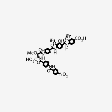 CO[C@H](C(=O)Nc1ccc(C(=O)Nc2ccc(C(=O)Nc3ccc(C(=O)O)cc3OC(C)C)c(O)c2OC(C)C)cc1)[C@H](NC(=O)c1ccc(NC(=O)c2ccc([N+](=O)[O-])cc2)cc1)C(=O)O